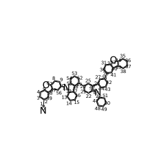 N#Cc1ccc2oc3ccc(-n4c5ccccc5c5c(-c6ccc7c(c6)c6cc(-c8ccc9oc%10ccccc%10c9c8)ccc6n7-c6ccccc6)cccc54)cc3c2c1